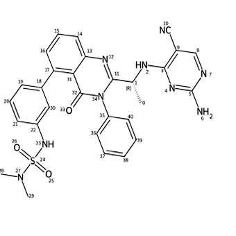 C[C@@H](Nc1nc(N)ncc1C#N)c1nc2cccc(-c3cccc(NS(=O)(=O)N(C)C)c3)c2c(=O)n1-c1ccccc1